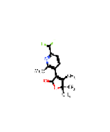 COc1nc(C(F)F)ccc1C1=C(C)[C@](C)(C(F)(F)F)OC1=O